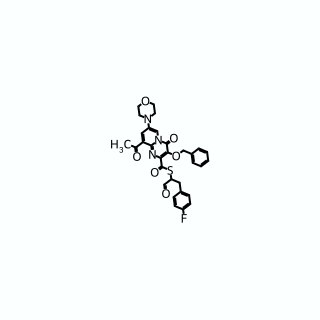 CC(=O)c1cc(N2CCOCC2)cn2c(=O)c(OCc3ccccc3)c(C(=O)SC(C=O)Cc3ccc(F)cc3)nc12